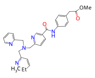 CC/C=C\C(CN(Cc1ccccn1)Cc1ccc(C(=O)Nc2ccc(CC(=O)OC)cc2)cn1)=N/C